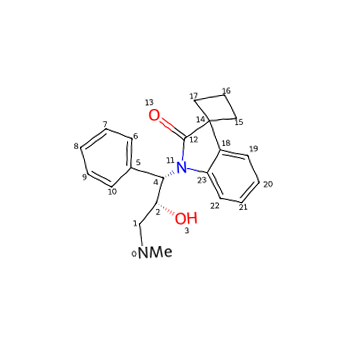 CNC[C@@H](O)[C@H](c1ccccc1)N1C(=O)C2(CCC2)c2ccccc21